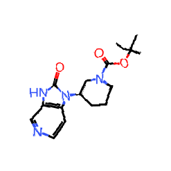 CC(C)(C)OC(=O)N1CCC[C@@H](n2c(=O)[nH]c3cnccc32)C1